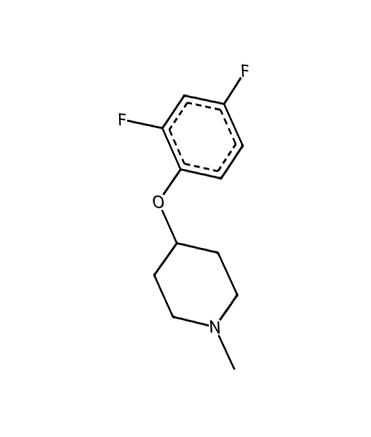 CN1CCC(Oc2ccc(F)cc2F)CC1